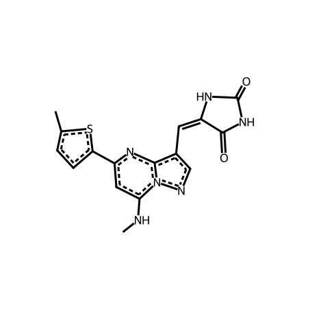 CNc1cc(-c2ccc(C)s2)nc2c(C=C3NC(=O)NC3=O)cnn12